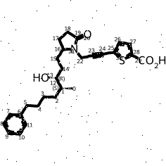 C[C@@H](CCCCc1ccccc1)[C@H](O)CCC1CCC(=O)N1CC#Cc1ccc(C(=O)O)s1